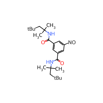 CC(C)(C)CC(C)(C)NC(=O)c1cc(N=O)cc(C(=O)NC(C)(C)CC(C)(C)C)c1